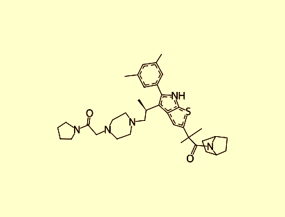 Cc1cc(C)cc(-c2[nH]c3sc(C(C)(C)C(=O)N4C5CCC4CC5)cc3c2[C@H](C)CN2CCN(CC(=O)N3CCCC3)CC2)c1